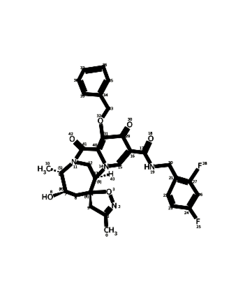 CC1=NO[C@]2(C1)C[C@@H](O)[C@H](C)N1C[C@H]2n2cc(C(=O)NCc3ccc(F)cc3F)c(=O)c(OCc3ccccc3)c2C1=O